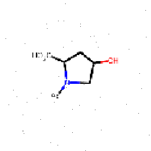 CC(=O)N1CC(O)CC1C(=O)O